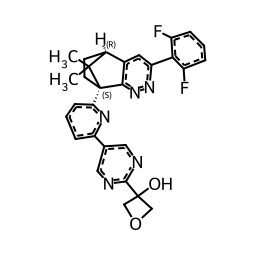 CC1(C)[C@H]2CC[C@]1(c1cccc(-c3cnc(C4(O)COC4)nc3)n1)c1nnc(-c3c(F)cccc3F)cc12